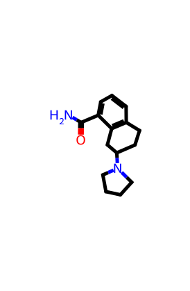 NC(=O)c1cccc2c1CC(N1CCCC1)CC2